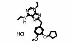 CCNc1ncn(CC)c2nc(Cc3ccc(OC)c(OC4CCCC4)c3)nc1-2.Cl